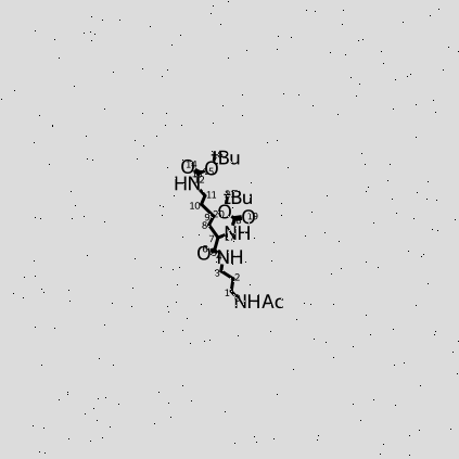 CC(=O)NCCCNC(=O)C(CCCCNC(=O)OC(C)(C)C)NC(=O)OC(C)(C)C